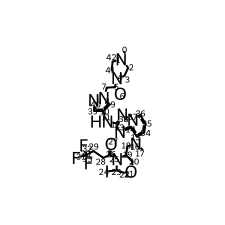 CN1CCN(C(=O)Cn2cc(Nc3nc4c(N(C)CC5COCC(I)N5C(=O)CCC(F)(F)F)cccn4n3)cn2)CC1